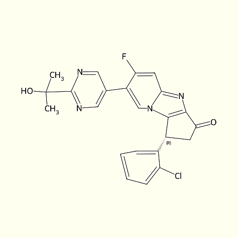 CC(C)(O)c1ncc(-c2cn3c4c(nc3cc2F)C(=O)C[C@@H]4c2ccccc2Cl)cn1